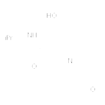 CC(C)NC(=O)C(CO)N1CCOCC1